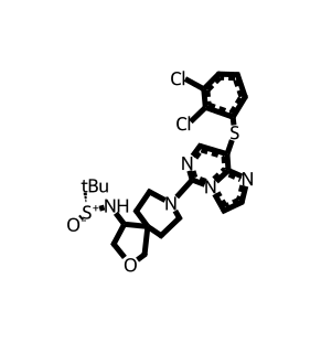 CC(C)(C)[S@@+]([O-])NC1COCC12CCN(c1ncc(Sc3cccc(Cl)c3Cl)c3nccn13)CC2